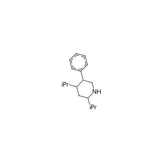 CC(C)C1CC(C(C)C)C(c2ccccc2)CN1